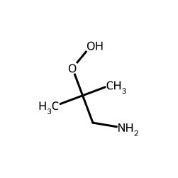 CC(C)(CN)OO